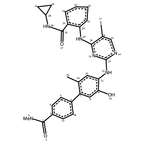 CNC(=O)c1ccc(-c2cc(O)c(Nc3ncc(I)c(Nc4ccccc4C(=O)NC4CC4)n3)cc2C)cc1